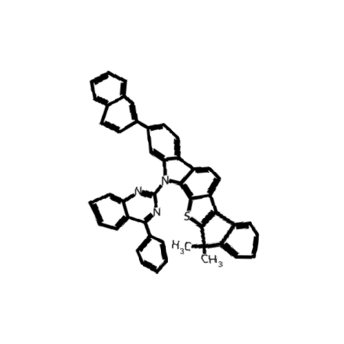 CC1(C)c2ccccc2-c2c1sc1c2ccc2c3ccc(-c4ccc5ccccc5c4)cc3n(-c3nc(-c4ccccc4)c4ccccc4n3)c21